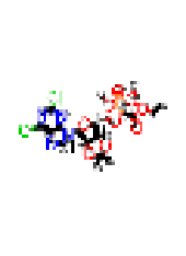 CCOC(=O)C(OC[C@H]1O[C@@H](n2cnc3c(Cl)nc(Cl)nc32)[C@@H]2OC(C)(C)O[C@@H]21)P(=O)(OC)OC